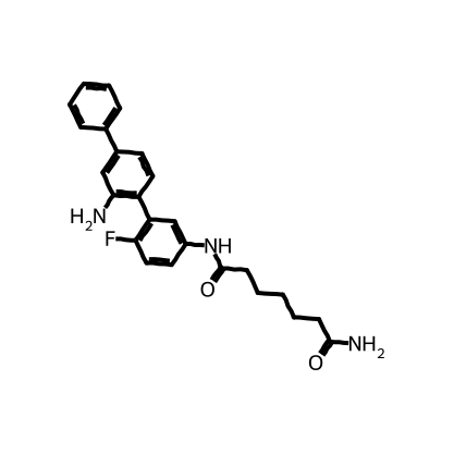 NC(=O)CCCCCC(=O)Nc1ccc(F)c(-c2ccc(-c3ccccc3)cc2N)c1